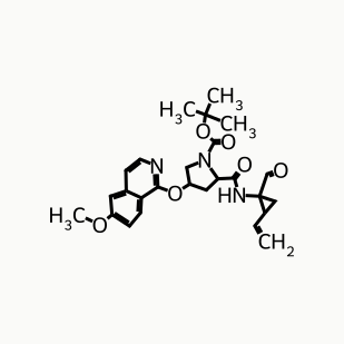 C=CC1CC1(C=O)NC(=O)C1CC(Oc2nccc3cc(OC)ccc23)CN1C(=O)OC(C)(C)C